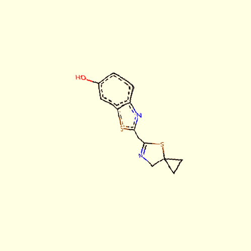 Oc1ccc2nc(C3=NCC4(CC4)S3)sc2c1